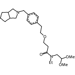 CCN(CC(OC)OC)C(=O)CCOCCc1ccc(CN2CC3CCCC3C2)cc1